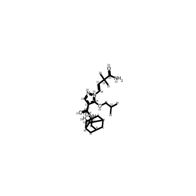 CO[C@]12CC3CC(C1)[C@@H](NC(=O)c1cnn(/C=C/C(C)(C)C(N)=O)c1OCC(C)C)C(C3)C2